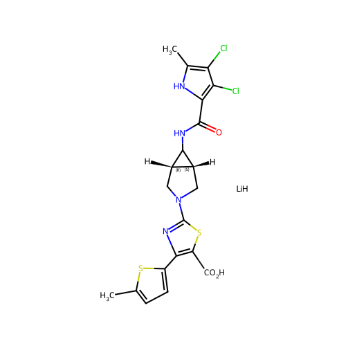 Cc1ccc(-c2nc(N3C[C@@H]4C(NC(=O)c5[nH]c(C)c(Cl)c5Cl)[C@@H]4C3)sc2C(=O)O)s1.[LiH]